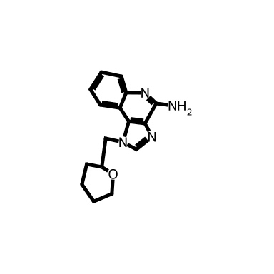 Nc1nc2ccccc2c2c1ncn2CC1CCCCO1